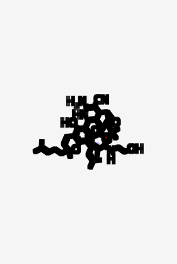 CC(C)=CCCC1(C)C=Cc2c(O)c3c(c(CC=C(C)C)c2O1)OC12C4=C3NC(N)=C(C#N)C4C3CC1C(C)(C)OC2(C/C=C(/C)C(=O)NCCO)C3=O